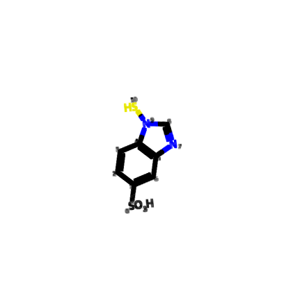 O=S(=O)(O)c1ccc2c(c1)ncn2S